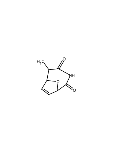 CC1C(=O)NC(=O)C2C=CC1O2